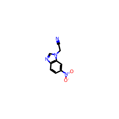 N#CCn1cnc2ccc([N+](=O)[O-])cc21